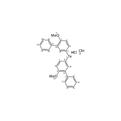 COc1ccc([Te]c2ccc(OC)c(-c3ccccc3)c2)cc1-c1ccccc1.Cl.Cl